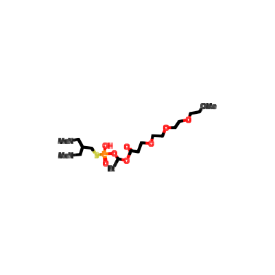 CCC(OC(=O)CCOCCOCCOCCOC)OP(=O)(O)SCC(CNC)CNC